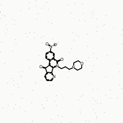 O=C1c2cccnc2-c2c1c1ccc([N+](=O)[O-])cc1c(=O)n2CCCN1CCOCC1